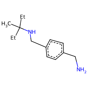 CCC(C)(CC)NCc1ccc(CN)cc1